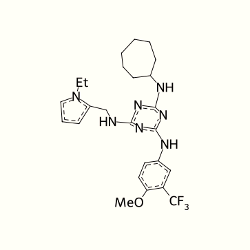 CCn1cccc1CNc1nc(Nc2ccc(OC)c(C(F)(F)F)c2)nc(NC2CCCCCC2)n1